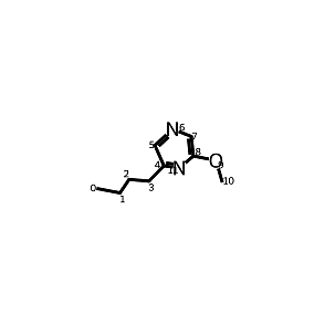 CCCCc1cncc(OC)n1